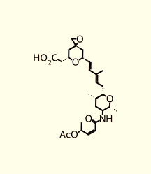 CC(=O)O[C@@H](C)/C=C\C(=O)NC1C[C@H](C)[C@H](C/C=C(C)/C=C/[C@@H]2C[C@]3(CO3)C[C@@H](CC(=O)O)O2)O[C@@H]1C